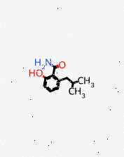 CC(C)Cc1cccc(O)c1C(N)=O